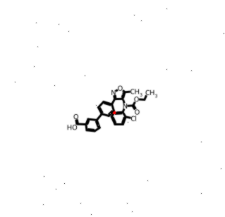 CCOC(=O)N(c1ccccc1Cl)c1c(-c2ccc(-c3cccc(C(=O)O)c3)cc2)noc1C